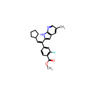 COC(=O)c1ccc(/C(=C/C2CCCC2)c2cc3cc(C)cnc3[nH]2)cc1F